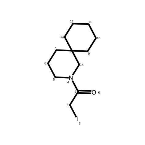 O=C(CI)N1CCCC2(CCCCC2)C1